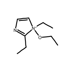 CCO[N+]1(CC)C=CN=C1CC